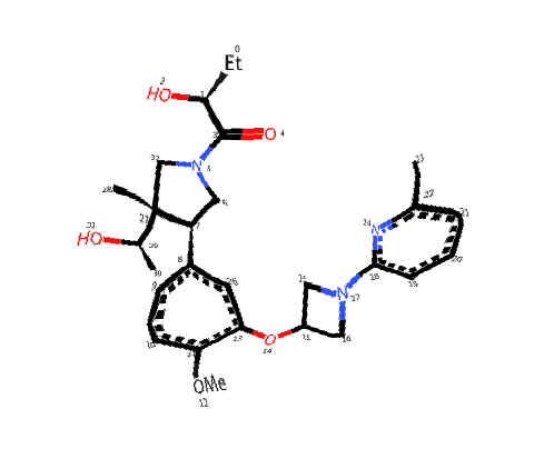 CC[C@H](O)C(=O)N1C[C@@H](c2ccc(OC)c(OC3CN(c4cccc(C)n4)C3)c2)[C@](C)([C@@H](C)O)C1